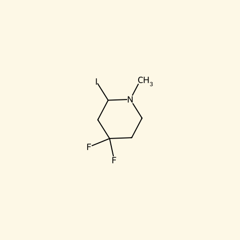 CN1CCC(F)(F)CC1I